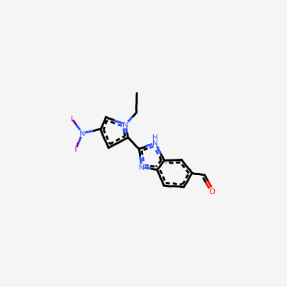 CCn1cc(N(I)I)cc1-c1nc2ccc(C=O)cc2[nH]1